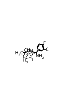 CC(C)(C)[Si](C)(C)OCC(N)c1ccc(F)c(Cl)c1